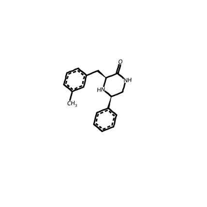 Cc1cccc(C[C@@H]2N[C@H](c3ccccc3)CNC2=O)c1